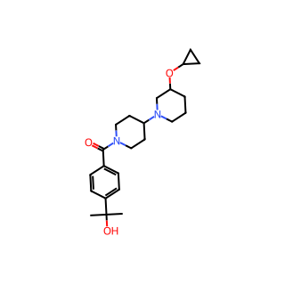 CC(C)(O)c1ccc(C(=O)N2CCC(N3CCCC(OC4CC4)C3)CC2)cc1